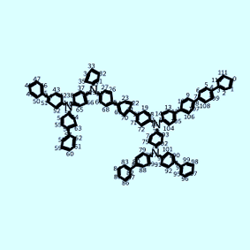 c1ccc(-c2ccc(-c3ccc(-c4ccc(N(c5ccc(-c6ccc(-c7ccc(N(c8ccccc8)c8ccc(N(c9ccc(-c%10ccccc%10)cc9)c9ccc(-c%10ccccc%10)cc9)cc8)cc7)cc6)cc5)c5ccc(N(c6ccc(-c7ccccc7)cc6)c6ccc(-c7ccccc7)cc6)cc5)cc4)cc3)cc2)cc1